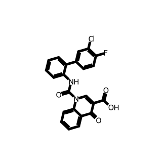 O=C(O)c1cn(C(=O)Nc2ccccc2-c2ccc(F)c(Cl)c2)c2ccccc2c1=O